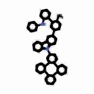 Cc1ccc(-c2ccc3c(c2)c2ccccc2n3-c2ccc3c(c2)-c2ccccc2-c2ccccc2-c2ccccc2-3)cc1-c1ccccc1Nc1ccccc1